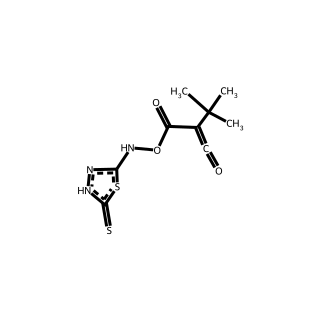 CC(C)(C)C(=C=O)C(=O)ONc1n[nH]c(=S)s1